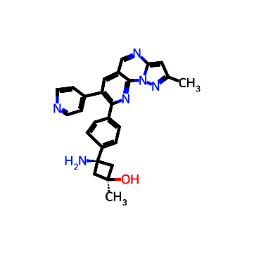 Cc1cc2ncc3cc(-c4ccncc4)c(-c4ccc([C@]5(N)C[C@@](C)(O)C5)cc4)nc3n2n1